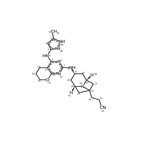 Cc1cc(Nc2nc(N[C@H]3C[C@@H]4CC5(CCC#N)C[C@H](C3)N45)nc3c2CCCO3)n[nH]1